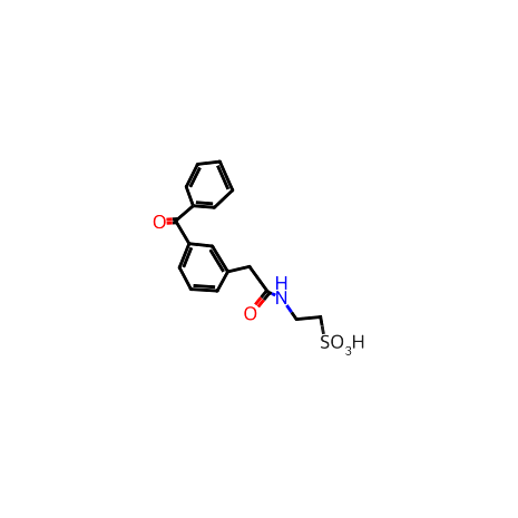 O=C(Cc1cccc(C(=O)c2ccccc2)c1)NCCS(=O)(=O)O